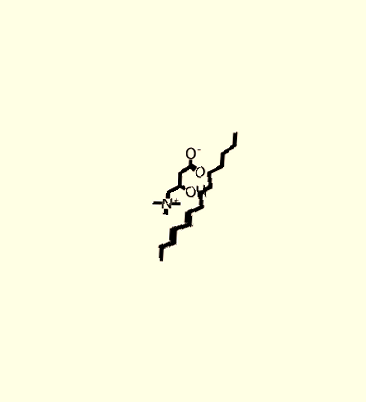 CCC=CC=CCCCCCCCC.C[N+](C)(C)CC(O)CC(=O)[O-]